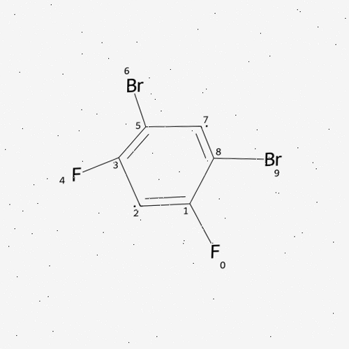 Fc1[c]c(F)c(Br)[c]c1Br